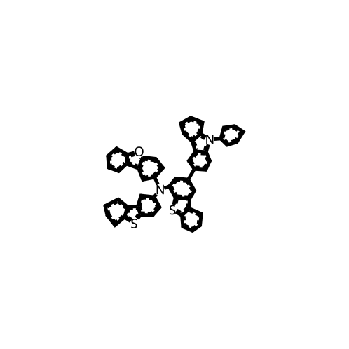 c1ccc(-n2c3ccccc3c3cc(-c4cc(N(c5ccc6oc7ccccc7c6c5)c5ccc6sc7ccccc7c6c5)c5sc6ccccc6c5c4)ccc32)cc1